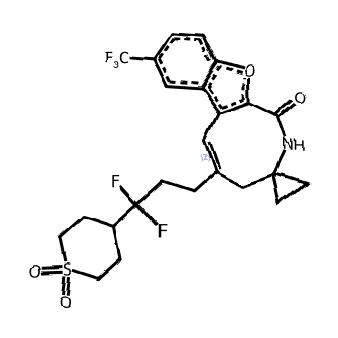 O=C1NC2(CC2)C/C(CCC(F)(F)C2CCS(=O)(=O)CC2)=C\c2c1oc1ccc(C(F)(F)F)cc21